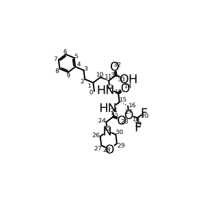 CC(CCc1ccccc1)C[C@H](NC(=O)[C@H](COC(F)F)NC(=O)CN1CCOCC1)C(=O)O